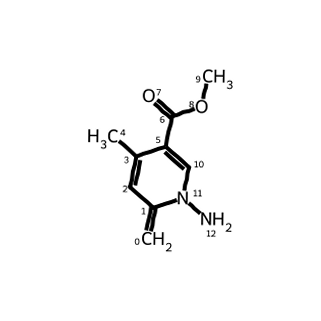 C=C1C=C(C)C(C(=O)OC)=CN1N